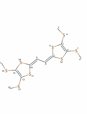 CSC1=C(SC)SC(=CC=C2SC(SC)=C(SC)S2)S1